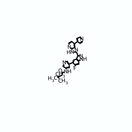 CC(C)(C)CC(=O)Nc1cncc(-c2cc3c(-c4nc5c(-c6ccncc6)ccnc5[nH]4)n[nH]c3cc2F)c1